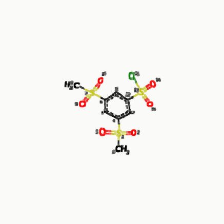 CS(=O)(=O)c1cc(S(C)(=O)=O)cc(S(=O)(=O)Cl)c1